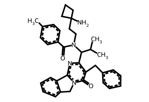 Cc1ccc(C(=O)N(CCC2(N)CCC2)C(c2nc3n(c(=O)c2Cc2ccccc2)Cc2ccccc2-3)C(C)C)cc1